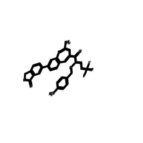 NC1=Nc2cc(-c3ccc4c(c3)C(=O)OC4)ccc2C=C(C(=O)N(CCC(F)(F)F)OCc2ccc(N)cc2)C1